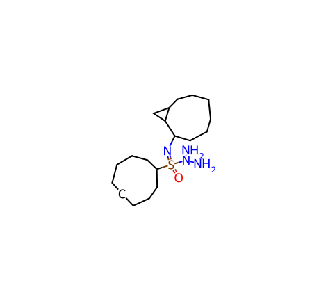 NN(N)S(=O)(=NC1CCCCCCC2CC21)C1CCCCCCCC1